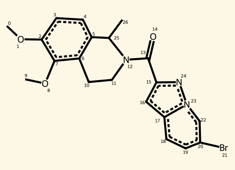 COc1ccc2c(c1OC)CCN(C(=O)c1cc3ccc(Br)cn3n1)C2C